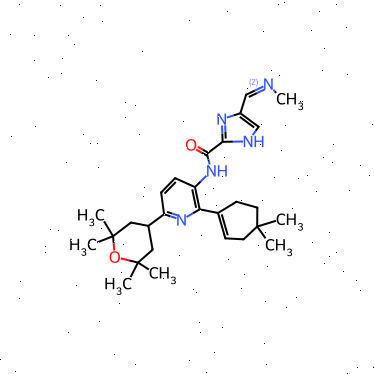 C/N=C\c1c[nH]c(C(=O)Nc2ccc(C3CC(C)(C)OC(C)(C)C3)nc2C2=CCC(C)(C)CC2)n1